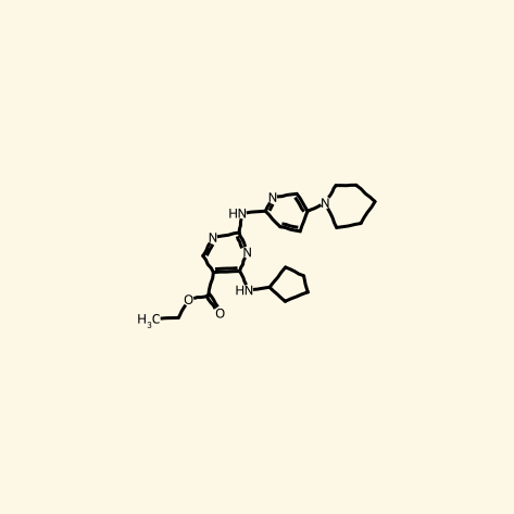 CCOC(=O)c1cnc(Nc2ccc(N3CCCCC3)cn2)nc1NC1CCCC1